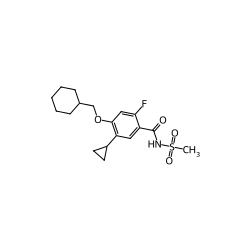 CS(=O)(=O)NC(=O)c1cc(C2CC2)c(OCC2CCCCC2)cc1F